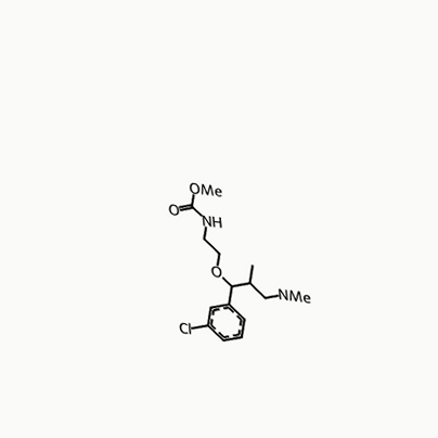 CNCC(C)C(OCCNC(=O)OC)c1cccc(Cl)c1